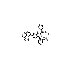 C[C@H]1COCCN1c1nc(N(C)C2CCOCC2)nc2nc(-c3ccc4c(c3)C(O)CCO4)ccc12